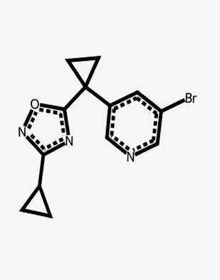 Brc1cncc(C2(c3nc(C4CC4)no3)CC2)c1